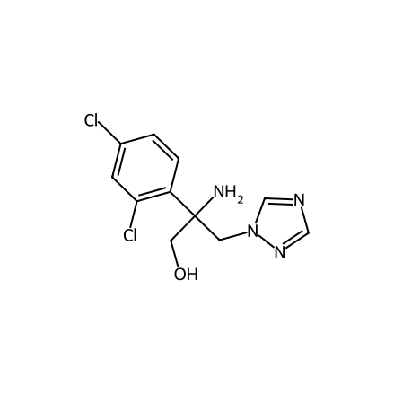 NC(CO)(Cn1cncn1)c1ccc(Cl)cc1Cl